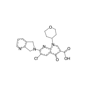 O=C(O)c1cn(C2CCOCC2)c2nc(N3Cc4cccnc4C3)c(Cl)cc2c1=O